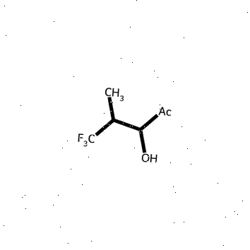 CC(=O)C(O)C(C)C(F)(F)F